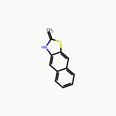 C=C1Nc2cc3ccccc3cc2S1